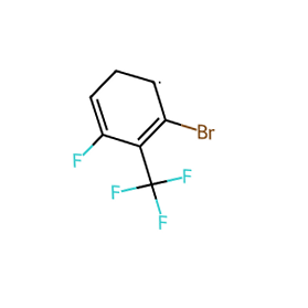 FC1=CC[CH]C(Br)=C1C(F)(F)F